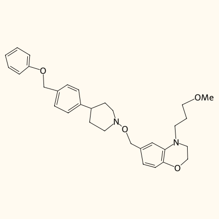 COCCCN1CCOc2ccc(CON3CCC(c4ccc(COc5ccccc5)cc4)CC3)cc21